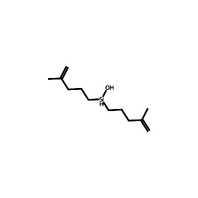 C=C(C)CCC[SiH](O)CCCC(=C)C